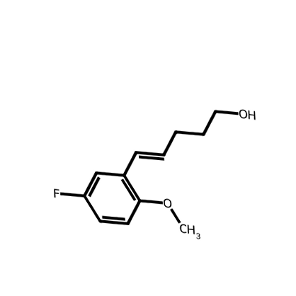 COc1ccc(F)cc1C=CCCCO